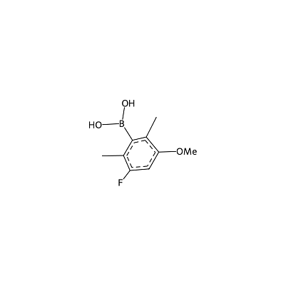 COc1cc(F)c(C)c(B(O)O)c1C